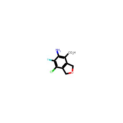 Nc1c(F)c(Cl)c2c(c1C(=O)O)COC2